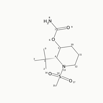 CC(C)(C)[C@@H]1C(OC(N)=O)CCCN1S(C)(=O)=O